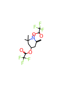 C=C1CC(OC(=O)C(F)(F)F)CC(C)(C)N1OC(=O)C(F)(F)F